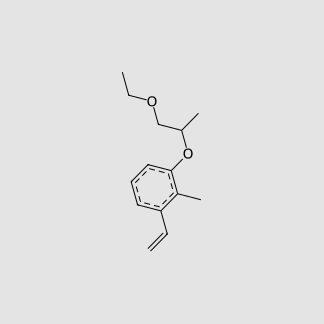 C=Cc1cccc(OC(C)COCC)c1C